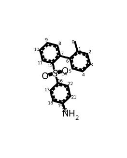 Cc1ccccc1-c1ccccc1S(=O)(=O)c1ccc(N)cc1